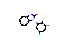 O=c1[nH]c2ccccc2n1-c1cc(Cl)cc(Cl)c1O